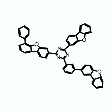 c1ccc(-c2cccc3c2oc2cc(-c4nc(-c5cccc(-c6ccc7oc8ccccc8c7c6)c5)nc(-c5ccc6c(c5)oc5ccccc56)n4)ccc23)cc1